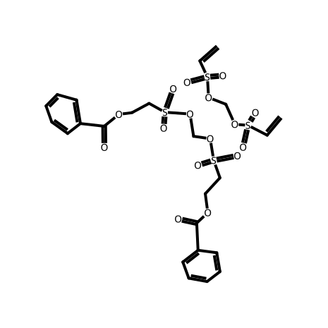 C=CS(=O)(=O)OCOS(=O)(=O)C=C.O=C(OCCS(=O)(=O)OCOS(=O)(=O)CCOC(=O)c1ccccc1)c1ccccc1